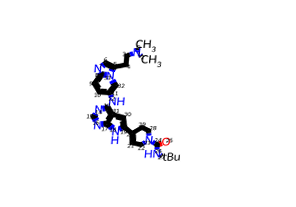 CN(C)CCc1cnc2ccc(Nc3ncnc4[nH]c(C5=CCN(C(=O)NC(C)(C)C)CC5)cc34)cn12